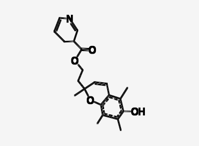 Cc1c(C)c2c(c(C)c1O)C=CC(C)(CCOC(=O)C1C=NC=CC1)O2